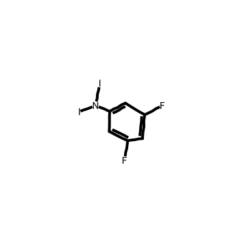 Fc1cc(F)cc(N(I)I)c1